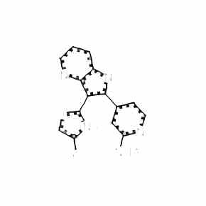 CC(=O)Nc1cc(-c2[nH]c3cccnc3c2-c2nc(C)cs2)ccn1